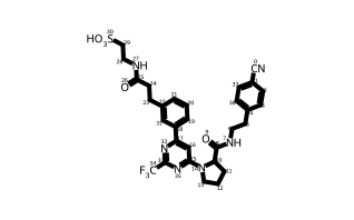 N#Cc1ccc(CCNC(=O)C2CCCN2c2cc(-c3cccc(CCC(=O)NCCS(=O)(=O)O)c3)nc(C(F)(F)F)n2)cc1